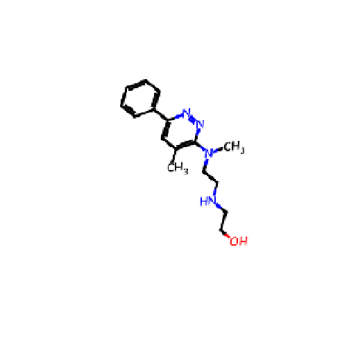 Cc1cc(-c2ccccc2)nnc1N(C)CCNCCO